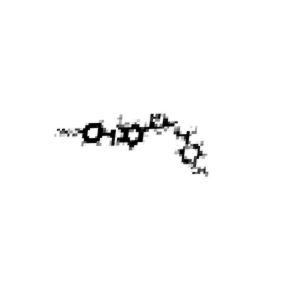 COc1ccc(-c2nc3ccc(-c4nnc(SCC(=O)N5CCN(C)CC5)o4)cc3[nH]2)cc1